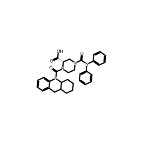 O=C(O)[C@@H]1CN(C(=O)N(c2ccccc2)c2ccccc2)CCN1C(=O)N1c2ccccc2CC2CCCCC21